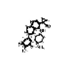 N[C@H]1CC[C@@H](Nc2c(C3(C=O)CC3)cnc3ccc(-c4cc(F)c(O)c(F)c4)cc23)CC1